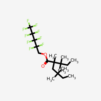 CCC(C)(C)CC(C)(C(=O)OCC(F)(F)C(F)(F)C(F)(F)C(F)(F)F)C(C)(C)CC